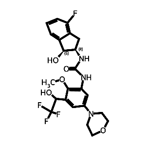 COc1c(NC(=O)N[C@@H]2Cc3c(F)cccc3[C@@H]2O)cc(N2CCOCC2)cc1C(O)C(F)(F)F